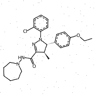 CCOc1ccc([C@@H]2[C@@H](C)C(C(=O)NN3CCCCCC3)=NN2c2ccccc2Cl)cc1